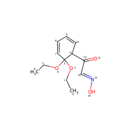 CCOC1(OCC)C=CC=CC1C(=O)C=NO